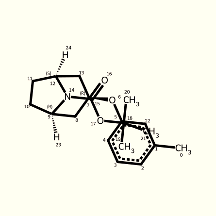 Cc1cccc(O[C@H]2C[C@H]3CC[C@@H](C2)N3C(=O)OC(C)(C)C)c1